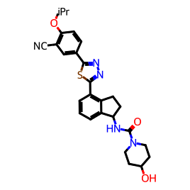 CC(C)Oc1ccc(-c2nnc(-c3cccc4c3CCC4NC(=O)N3CCC(O)CC3)s2)cc1C#N